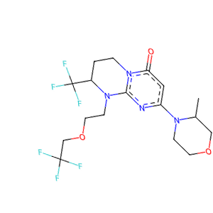 CC1COCCN1c1cc(=O)n2c(n1)N(CCOCC(F)(F)F)C(C(F)(F)F)CC2